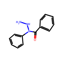 NNN(C(=O)c1ccccc1)c1ccccc1